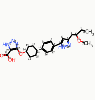 CCC(Cc1cc(-c2ccc([C@H]3CC[C@H](Oc4nn[nH]c4C(=O)O)CC3)cc2)[nH]n1)OC